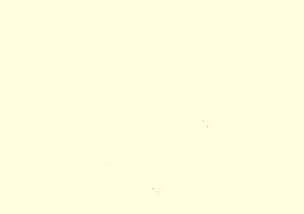 COC(=O)c1sc2c(c[n+](C)c3cc(OC)c(OC)cc23)c1N.[I-]